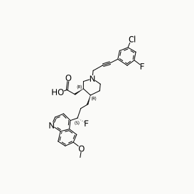 COc1ccc2nccc([C@@H](F)CC[C@@H]3CCN(CC#Cc4cc(F)cc(Cl)c4)C[C@@H]3CC(=O)O)c2c1